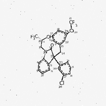 O=C1N(C[C@@H](O)C(F)(F)F)c2ccccc2C1(Cc1cccc(OC(F)(F)F)c1)c1cccc(Cl)c1